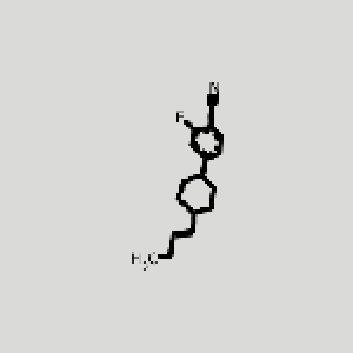 CCC=CC1CCC(c2ccc(C#N)c(F)c2)CC1